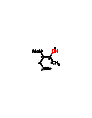 CNC(CSC)C(C)O